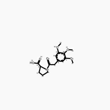 COc1cc(CC(=O)N2CCCC2C(=O)O)cc(OC)c1OC